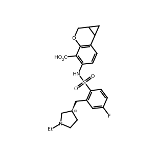 CCN1CC[C@H](Cc2cc(F)ccc2S(=O)(=O)Nc2ccc3c(c2C(=O)O)OCC2CC32)C1